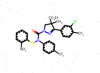 CCOC(=O)C1(C)CN(C(=O)N(Sc2ccccc2[N+](=O)[O-])c2ccc(C(F)(F)F)cc2)N=C1c1ccc(C(F)(F)F)c(Cl)c1